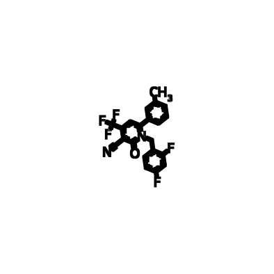 Cc1cccc(-c2cc(C(F)(F)F)c(C#N)c(=O)n2Cc2ccc(F)cc2F)c1